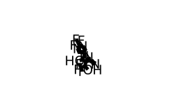 N#CC1=NN(c2cnc(C(F)(F)F)nc2)C(O)C1C(O)C(F)(F)F